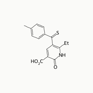 CCc1[nH]c(=O)c(C(=O)O)cc1C(=S)c1ccc(C)cc1